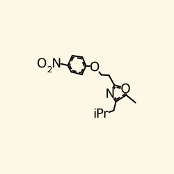 Cc1oc(CCOc2ccc([N+](=O)[O-])cc2)nc1CC(C)C